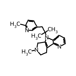 Cc1ccc(CC(C)(C)n2c3c(c4ncccc42)CCN(C)C3)cn1